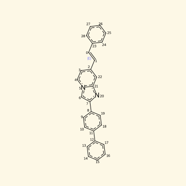 C(=C\c1ccn2cc(-c3ccc(-c4ccccc4)cc3)nc2c1)/c1ccccc1